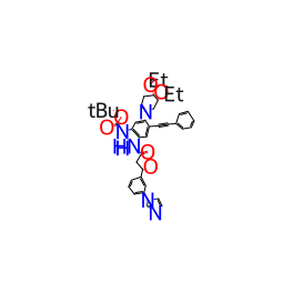 CCOC1(OCC)CCN(c2cc(NC(=O)OC(C)(C)C)c(NC(=O)CC(=O)c3cccc(-n4ccnc4)c3)cc2C#Cc2ccccc2)CC1